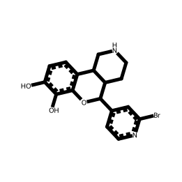 Oc1ccc2c(c1O)OC(c1ccnc(Br)c1)C1CCNCC21